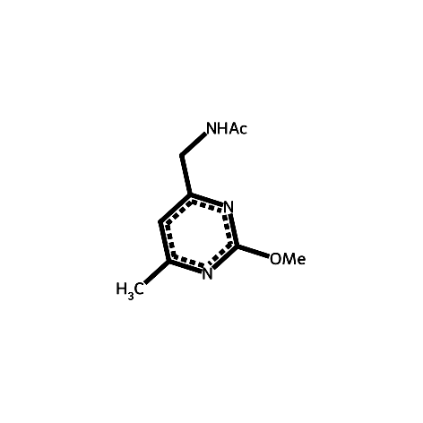 COc1nc(C)cc(CNC(C)=O)n1